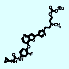 CN(CCOC(=O)OC(C)(C)C)CCn1cc(-c2cc3nccc(Oc4ccc(NC(=O)NC5CC5)cc4F)c3s2)cn1